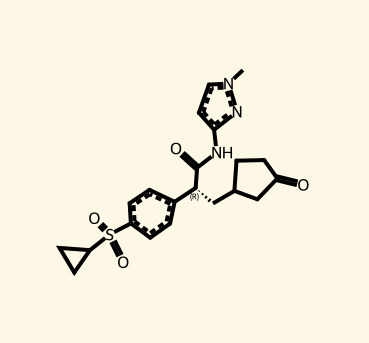 Cn1ccc(NC(=O)[C@H](CC2CCC(=O)C2)c2ccc(S(=O)(=O)C3CC3)cc2)n1